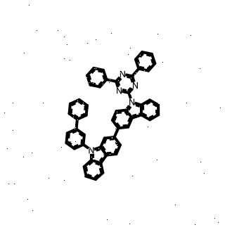 c1ccc(-c2cccc(-n3c4ccccc4c4ccc(-c5ccc6c(c5)c5ccccc5n6-c5nc(-c6ccccc6)nc(-c6ccccc6)n5)cc43)c2)cc1